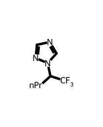 CCCC(n1cncn1)C(F)(F)F